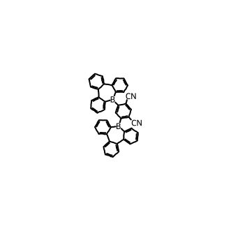 N#Cc1cc(C#N)c(B2c3ccccc3-c3ccccc3-c3ccccc32)cc1B1c2ccccc2-c2ccccc2-c2ccccc21